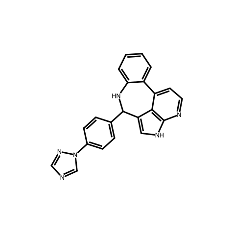 c1ccc2c(c1)NC(c1ccc(-n3cncn3)cc1)c1c[nH]c3nccc-2c13